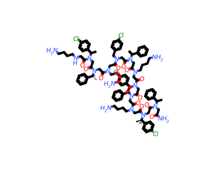 CC(c1ccccc1)N(CC(N)=O)C(=O)CN(C(=O)CN(CCCCN)C(=O)CN(C(=O)CN(C(=O)CN(CCCCN)C(=O)CN(C(=O)CN(Cc1ccc(Cl)cc1)C(=O)CN(CCCCN)C(=O)CN(C(=O)CN(C(=O)CNCCCCN)C(C)c1ccc(Cl)cc1)[C@H](C)c1ccccc1)C(C)c1ccccc1)C(C)c1ccc(Cl)cc1)[C@H](C)c1ccccc1)[C@H](C)c1ccc(Cl)cc1